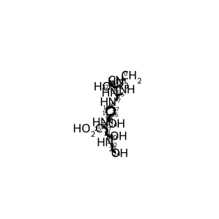 C=CNC1NCC(CNC2=CC[C@H]([C@@H](O)N[C@@H](CC[C@@H](O)NCCO)C(=O)O)CC2)N[C@@H]1[C@@H](C)O